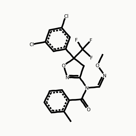 CO/N=C\N(C(=O)c1ccccc1C)C1=NOC(c2cc(Cl)cc(Cl)c2)(C(F)(F)F)C1